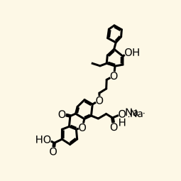 CCc1cc(-c2ccccc2)c(O)cc1OCCCOc1ccc2c(=O)c3cc(C(=O)O)ccc3oc2c1CCC(=O)O.[Na].[Na]